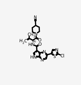 C=C(C)[C@@H](NC(=O)c1c[nH]c2ncc(-c3cnc(Cl)s3)nc12)C(=O)N1CCC(C#N)CC1